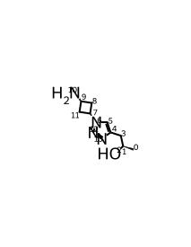 C[C@@H](O)Cc1cn([C@H]2C[C@H](N)C2)nn1